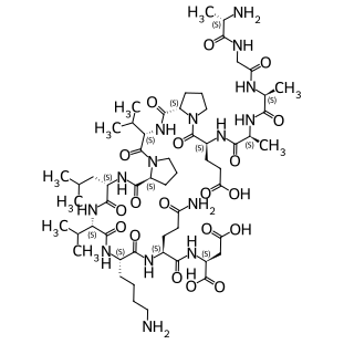 CC(C)C[C@H](NC(=O)[C@@H]1CCCN1C(=O)[C@@H](NC(=O)[C@@H]1CCCN1C(=O)[C@H](CCC(=O)O)NC(=O)[C@H](C)NC(=O)[C@H](C)NC(=O)CNC(=O)[C@H](C)N)C(C)C)C(=O)N[C@H](C(=O)N[C@@H](CCCCN)C(=O)N[C@@H](CCC(N)=O)C(=O)N[C@@H](CC(=O)O)C(=O)O)C(C)C